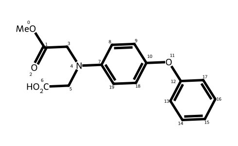 COC(=O)CN(CC(=O)O)c1ccc(Oc2ccccc2)cc1